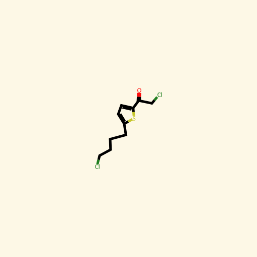 O=C(CCl)c1ccc(CCCCCl)s1